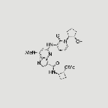 CNc1cc(Nc2cccn([C@H]3CCC[C@H]3O)c2=O)nc2c(C(=O)N[C@@H]3CC[C@H]3OC)cnn12